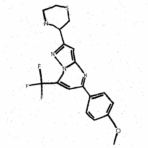 COc1ccc(-c2cc(C(F)(F)F)n3nc(C4CSCC[N]4)cc3n2)cc1